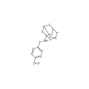 O=C(O)c1ccc(CNC23CC4CC(CC(C4)C2)C3)cc1